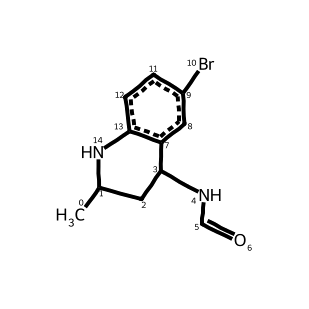 CC1CC(NC=O)c2cc(Br)ccc2N1